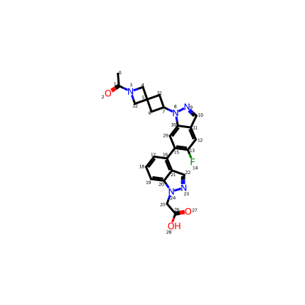 CC(=O)N1CC2(CC(n3ncc4cc(F)c(-c5cccc6c5cnn6CC(=O)O)cc43)C2)C1